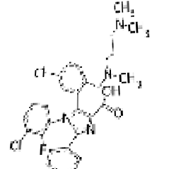 CN(C)CCCN(C)Cc1ccc(Cl)cc1-c1c(C(=O)O)nc(-c2ccccc2)n1-c1cccc(Cl)c1F